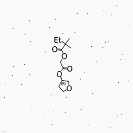 CCC(C)(C)C(=O)OCC(=O)O[C@@H]1CCOC1